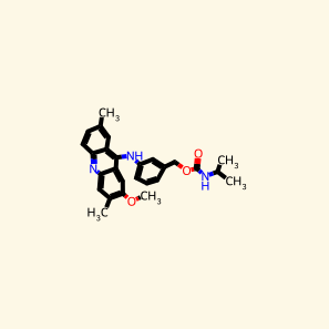 COc1cc2c(Nc3cccc(COC(=O)NC(C)C)c3)c3cc(C)ccc3nc2cc1C